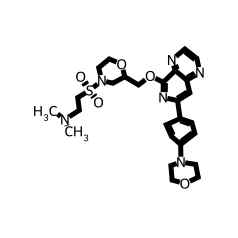 CN(C)CCS(=O)(=O)N1CCOC(COc2nc(-c3ccc(N4CCOCC4)cc3)cc3nccnc23)C1